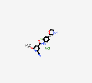 COc1cc(C(=O)Nc2ccc([C@H]3CNCCO3)cc2F)cc(C#N)n1.Cl